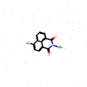 CCCCN1C(=O)c2cccc3c(C#N)ccc(c23)C1=O